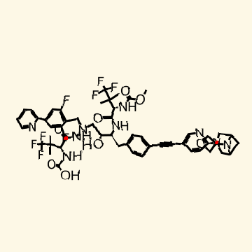 COC(=O)N[C@H](C(=O)N[C@@H](Cc1ccc(C#Cc2ccc(N3CC4CC(C3)N4C3COC3)nc2)cc1)[C@@H](O)CN(Cc1c(F)cc(-c2ccccn2)cc1F)NC(=O)[C@@H](NC(=O)O)C(C)(C)C(F)(F)F)C(C)(C)C(F)(F)F